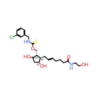 O=C(CCCC=CC[C@@H]1[C@@H](COC(=S)NCc2cccc(Cl)c2)[C@H](O)C[C@@H]1O)NCCO